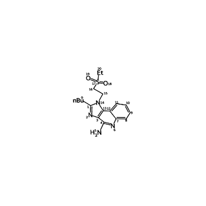 CCCCc1nc2c(N)nc3ccccc3c2n1CCS(=O)(=O)CC